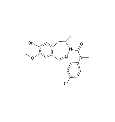 COc1cc2c(cc1Br)CC(C)N(C(=O)N(C)c1ccc(Cl)cc1)N=C2